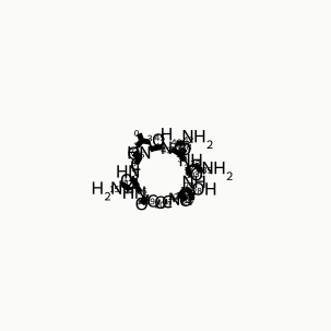 CC(C)C[C@@H]1NC(=O)CNC(=O)[C@H](CCN)NC(=O)CCCNC(=O)C(C(C)O)NC(=O)[C@H](CCN)NC(=O)[C@H](CCN)NC1=O